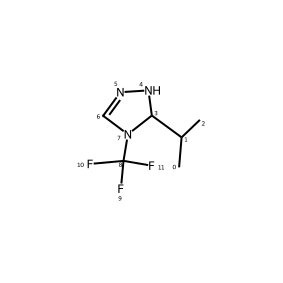 CC(C)C1NN=CN1C(F)(F)F